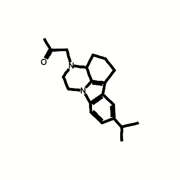 CC(=O)CN1CCn2c3c(c4cc(C(C)C)ccc42)CCCC31